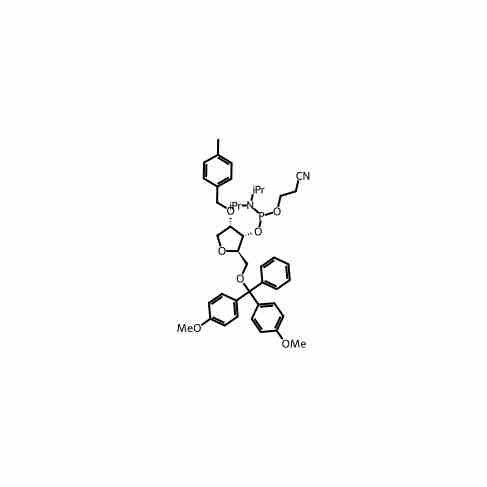 COc1ccc(C(OC[C@H]2OC[C@H](OCc3ccc(C)cc3)[C@@H]2OP(OCCC#N)N(C(C)C)C(C)C)(c2ccccc2)c2ccc(OC)cc2)cc1